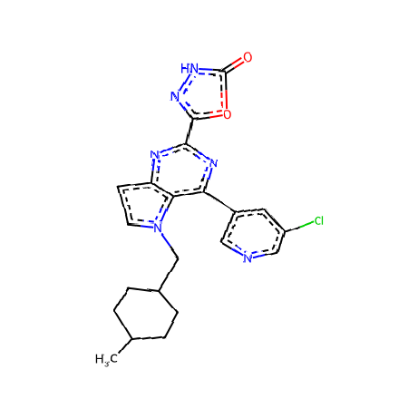 CC1CCC(Cn2ccc3nc(-c4n[nH]c(=O)o4)nc(-c4cncc(Cl)c4)c32)CC1